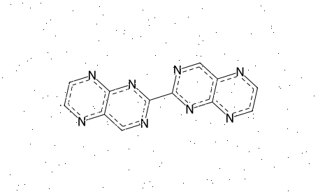 [c]1cnc2nc(-c3ncc4nccnc4n3)ncc2n1